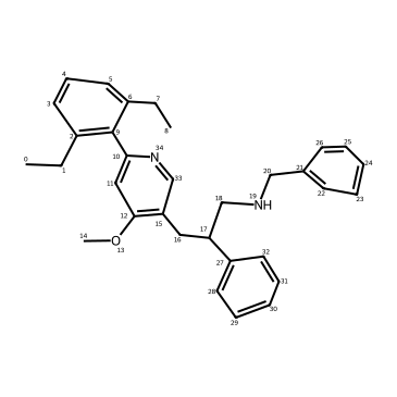 CCc1cccc(CC)c1-c1cc(OC)c(CC(CNCc2ccccc2)c2ccccc2)cn1